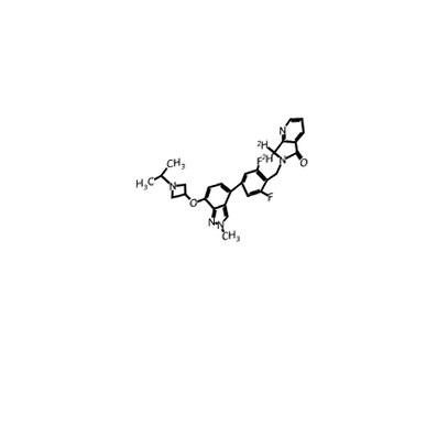 [2H]C1([2H])c2ncccc2C(=O)N1Cc1c(F)cc(-c2ccc(OC3CN(C(C)C)C3)c3nn(C)cc23)cc1F